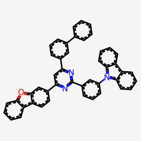 c1ccc(-c2cccc(-c3cc(-c4ccc5c(c4)oc4ccccc45)nc(-c4cccc(-n5c6ccccc6c6ccccc65)c4)n3)c2)cc1